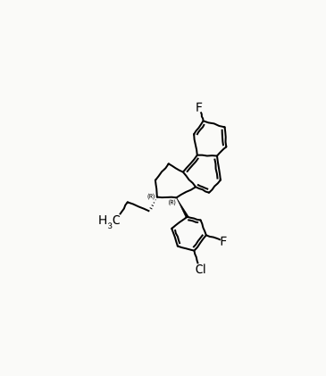 CCC[C@@H]1CCc2c(ccc3ccc(F)cc23)[C@H]1c1ccc(Cl)c(F)c1